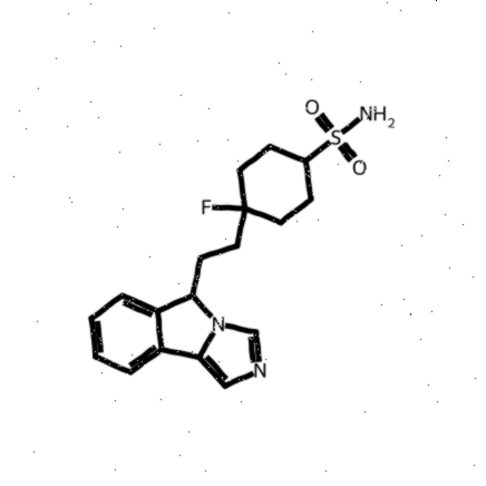 NS(=O)(=O)C1CCC(F)(CCC2c3ccccc3-c3cncn32)CC1